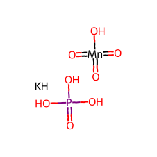 O=P(O)(O)O.[KH].[O]=[Mn](=[O])(=[O])[OH]